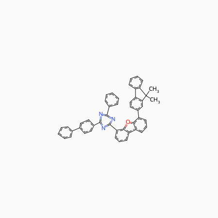 CC1(C)c2ccccc2-c2ccc(-c3cccc4c3oc3c(-c5nc(-c6ccccc6)nc(-c6ccc(-c7ccccc7)cc6)n5)cccc34)cc21